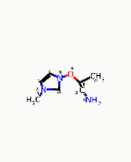 CC(CN)ON1C=CN(C)C1